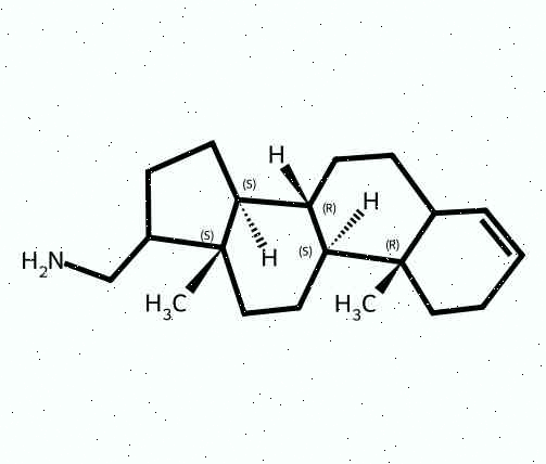 C[C@]12CCC=CC1CC[C@@H]1[C@@H]2CC[C@]2(C)C(CN)CC[C@@H]12